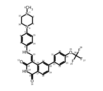 CN1CCN(c2ccc(NC=C3C(=O)NC(=O)c4ccc(-c5ccc(OC(F)(F)F)cc5)cc43)cc2)CC1